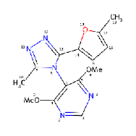 COc1ncnc(OC)c1-n1c(C)nnc1-c1ccc(C)o1